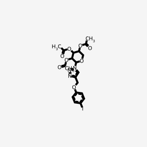 CC(=O)OC1COC(n2cc(COc3ccc(I)cc3)nn2)C(OC(C)=O)C1OC(C)=O